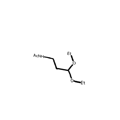 CCOC(CCNC(C)=O)OCC